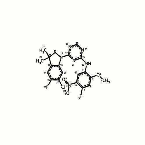 COc1cc(F)c([N+](=O)[O-])cc1Nc1ncnc(N2CC(C)(C)c3cc(F)c(Cl)cc32)n1